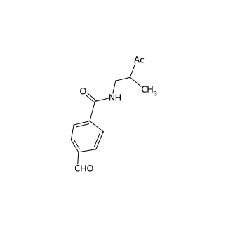 CC(=O)C(C)CNC(=O)c1ccc(C=O)cc1